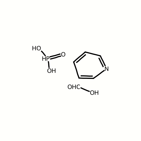 O=CO.O=[PH](O)O.c1ccncc1